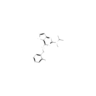 CC(C)N(C)c1nc(NCc2ccccc2Cl)c2sccc2n1